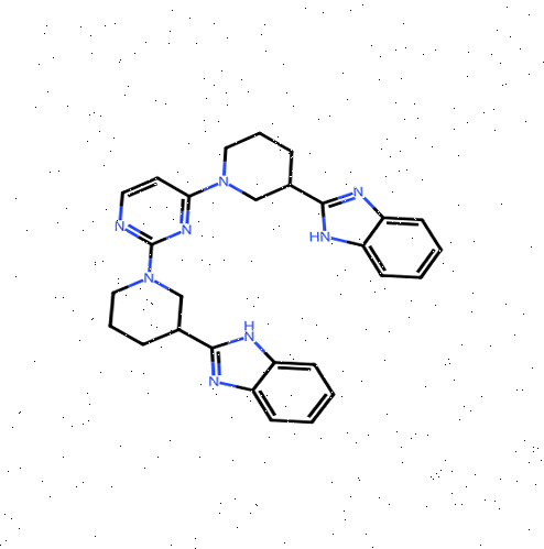 c1ccc2[nH]c(C3CCCN(c4ccnc(N5CCCC(c6nc7ccccc7[nH]6)C5)n4)C3)nc2c1